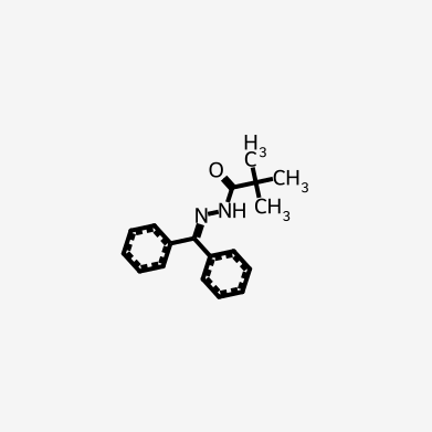 CC(C)(C)C(=O)NN=C(c1ccccc1)c1ccccc1